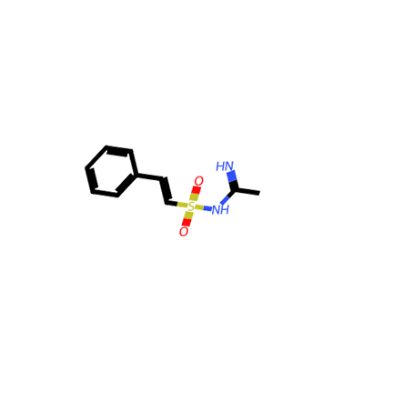 CC(=N)NS(=O)(=O)C=Cc1ccccc1